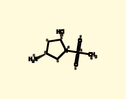 CS(=O)(=O)N1CC[C@@H](N)C1.Cl